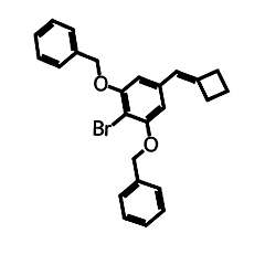 Brc1c(OCc2ccccc2)cc(C=C2CCC2)cc1OCc1ccccc1